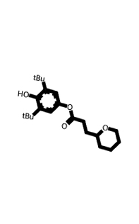 CC(C)(C)c1cc(OC(=O)CCC2CCCCO2)cc(C(C)(C)C)c1O